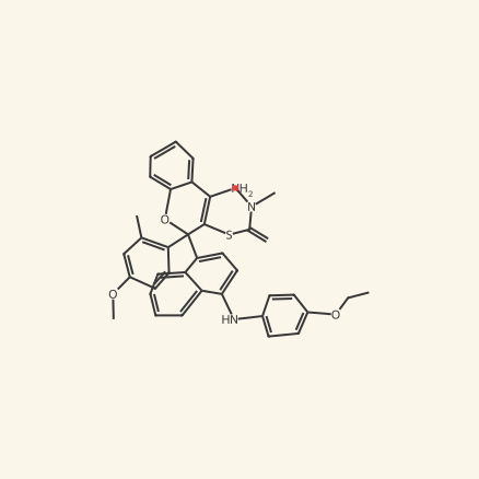 C=C(SC1=C(N)c2ccccc2OC1(c1ccc(OC)cc1C)c1ccc(Nc2ccc(OCC)cc2)c2ccccc12)N(C)C